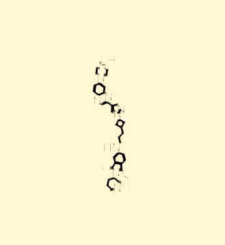 CN1CCN(c2ccc3ncc(-c4cnn(C5CC(CCCNc6ccc7c(c6)C(=O)N(C6CCC(=O)NC6=O)C7=O)C5)c4)nc3c2)CC1